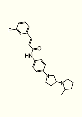 CC1CCCN1C1CCN(c2ccc(NC(=O)C=Cc3cccc(F)c3)cc2)C1